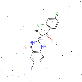 N#C/C(C(=O)c1ccc(Cl)cc1Cl)=C1\NC(=O)c2cc(I)ccc2N1